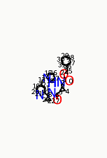 O=C(NC1CC1C(=O)NC1(c2cc(CN3CCCC3)ccn2)CC1)OCc1ccccc1